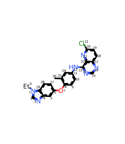 CCn1cnc2cc(Oc3ccc(Nc4ncnc5ccc(Cl)nc45)cc3C)ccc21